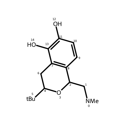 CNCC1OC(C(C)(C)C)Cc2c1ccc(O)c2O